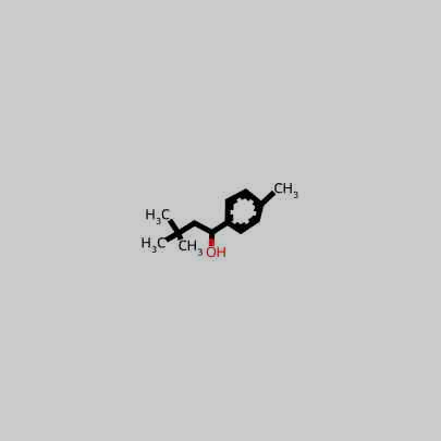 Cc1ccc(C(O)CC(C)(C)C)cc1